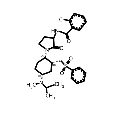 CC(C)N(C)[C@@H]1CC[C@H](N2CCC(NC(=O)c3ccccc3Cl)C2=O)[C@H](CS(=O)(=O)c2ccccc2)C1